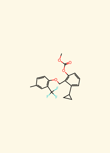 COC(=O)Oc1cccc(C2CC2)c1COc1ccc(C)cc1C(F)(F)F